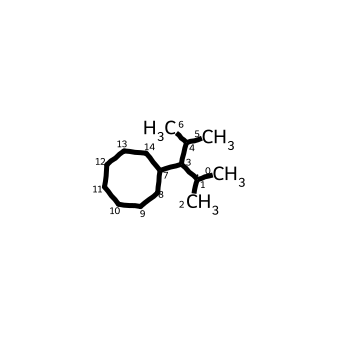 C[C](C)C(C(C)C)C1CCCCCCC1